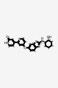 O=c1cc(-c2cc(Oc3ccc4nc(N[C@@H]5CCCC[C@H]5O)sc4c3)ccn2)cc[nH]1